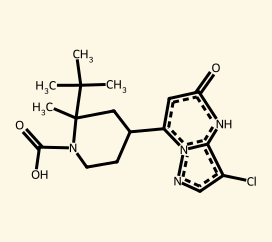 CC(C)(C)C1(C)CC(c2cc(=O)[nH]c3c(Cl)cnn23)CCN1C(=O)O